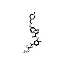 Cc1ccc([C@H](C)NC(=O)OC(C)(C)C)cc1NC(=O)c1cnc2cc(OCCN3CCN(C)CC3)ccn12